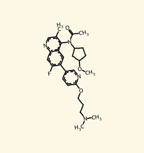 COC1CCC(N(C(C)=O)c2c(C)cnc3cc(F)c(-c4ccc(OCCCN(C)C)nc4)cc23)C1